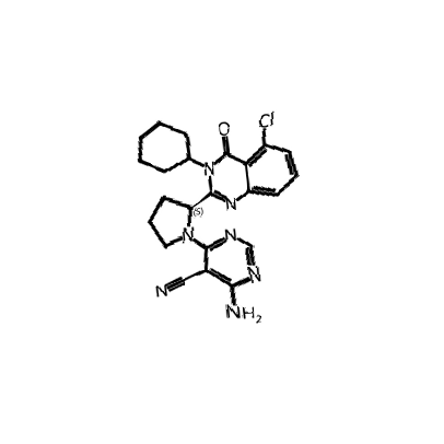 N#Cc1c(N)ncnc1N1CCC[C@H]1c1nc2cccc(Cl)c2c(=O)n1C1CCCCC1